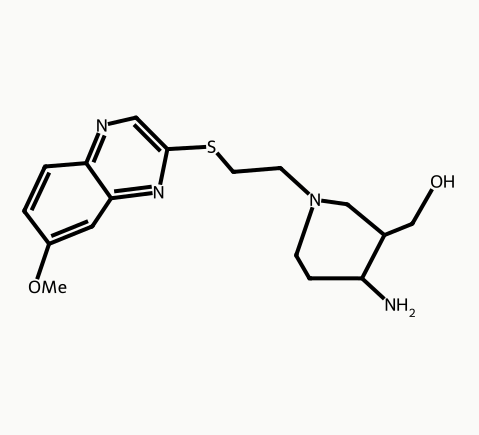 COc1ccc2ncc(SCCN3CCC(N)C(CO)C3)nc2c1